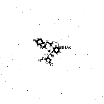 CCOC1OC(=O)CC1NS(=O)(=O)c1ccc(NC(C)=O)cc1OC(C)Cn1cnc2cc(F)ccc21